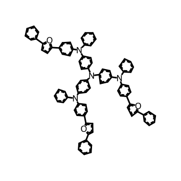 c1ccc(-c2ccc(-c3ccc(N(c4ccccc4)c4ccc(N(c5ccc(N(c6ccccc6)c6ccc(-c7ccc(-c8ccccc8)o7)cc6)cc5)c5ccc(N(c6ccccc6)c6ccc(-c7ccc(-c8ccccc8)o7)cc6)cc5)cc4)cc3)o2)cc1